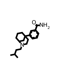 CC(C)CCN1CCC2(c3cccc(C(N)=O)c3)CCCC1C2